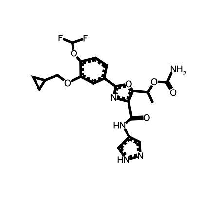 CC(OC(N)=O)c1oc(-c2ccc(OC(F)F)c(OCC3CC3)c2)nc1C(=O)Nc1cn[nH]c1